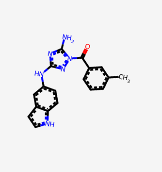 Cc1cccc(C(=O)n2nc(Nc3ccc4[nH]ccc4c3)nc2N)c1